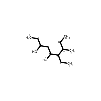 CCC(O)CC(O)C(CC)C(C)CC